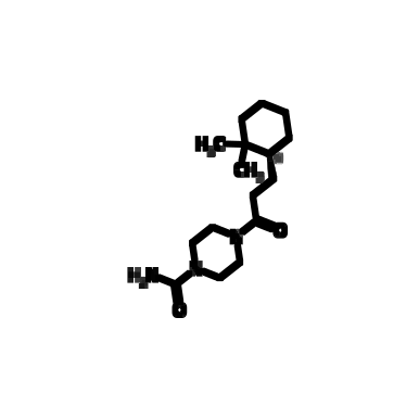 CC1(C)CCCC[C@H]1CCC(=O)N1CCN(C(N)=O)CC1